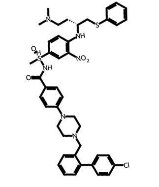 CN(C)CC[C@H](CSc1ccccc1)Nc1ccc([SH](C)(=O)NC(=O)c2ccc(N3CCN(Cc4ccccc4-c4ccc(Cl)cc4)CC3)cc2)cc1[N+](=O)[O-]